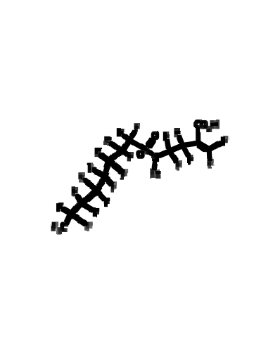 CCN(C(F)(F)C(F)(F)C(C(=O)O)=C(F)F)S(=O)(=O)C(F)(F)C(F)(F)C(F)(F)C(F)(F)C(F)(F)C(F)(F)C(F)(F)C(F)(F)F